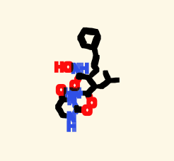 CC(C)C[C@@H](C(=O)NN1C(=O)CCNC1=O)[C@H](C/C=C/c1ccccc1)C(=O)NO